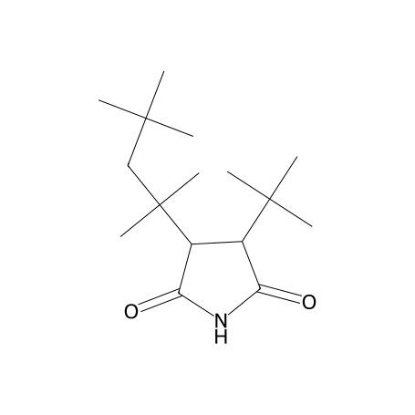 CC(C)(C)CC(C)(C)C1C(=O)NC(=O)C1C(C)(C)C